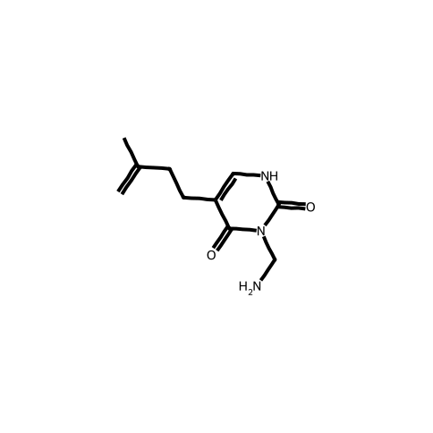 C=C(C)CCc1c[nH]c(=O)n(CN)c1=O